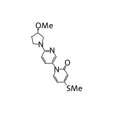 CO[C@@H]1CCN(c2ccc(-n3ccc(SC)cc3=O)cn2)C1